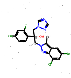 CCc1c2cc(Br)cc(Cl)c2nn1[C@H](C)[C@](O)(Cn1cncn1)c1ccc(F)cc1F